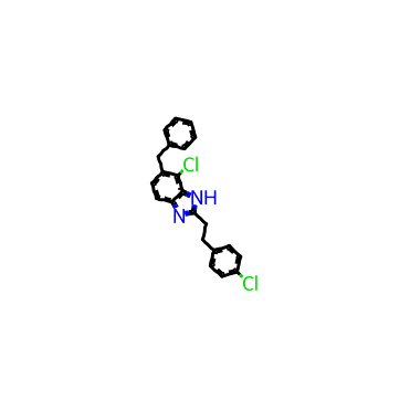 Clc1ccc(CCc2nc3ccc(Cc4ccccc4)c(Cl)c3[nH]2)cc1